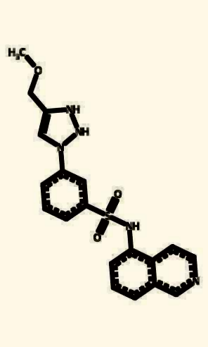 COCC1=CN(c2cccc(S(=O)(=O)Nc3cccc4cnccc34)c2)NN1